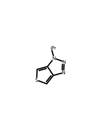 CC(C)n1nnc2cscc21